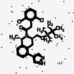 C[C@H]1c2cccc(-c3cn[nH]c3)c2C[C@H](CO[Si](C)(C)C(C)(C)C)N1C(=O)Cc1c(Cl)cccc1Cl